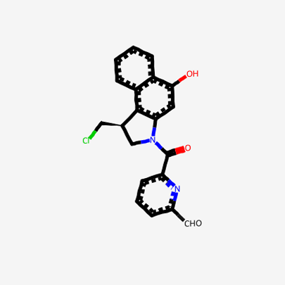 O=Cc1cccc(C(=O)N2C[C@@H](CCl)c3c2cc(O)c2ccccc32)n1